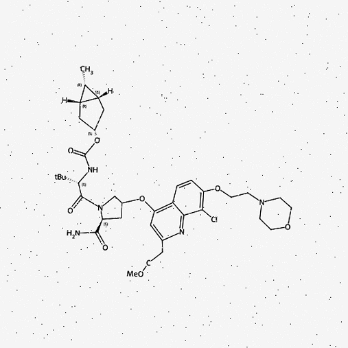 COCCc1cc(OC2C[C@@H](C(N)=O)N(C(=O)[C@@H](NC(=O)O[C@@H]3C[C@@H]4[C@H](C)[C@@H]4C3)C(C)(C)C)C2)c2ccc(OCCN3CCOCC3)c(Cl)c2n1